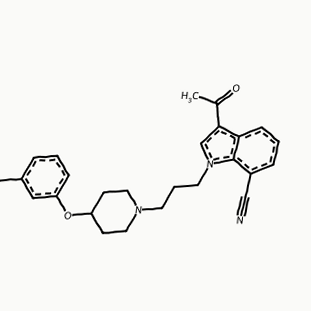 CC(=O)c1cn(CCCN2CCC(Oc3cccc(Cl)c3)CC2)c2c(C#N)cccc12